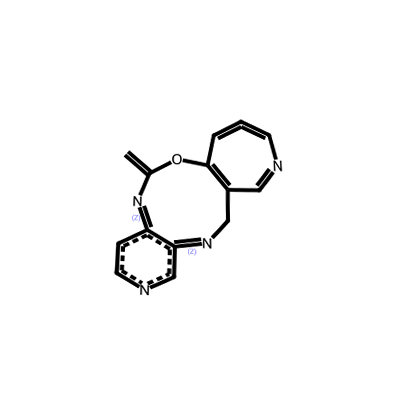 C=C1/N=c2/ccnc/c2=N/CC2=C(C=C=CN=C2)O1